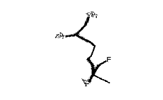 CCCC(CCC)CCC(C)(F)F